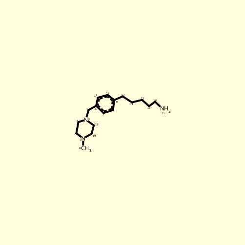 CN1CCN(Cc2ccc(CCCCCN)cc2)CC1